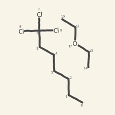 CCCCCCC(Cl)(Cl)Cl.CCOCC